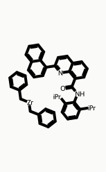 CC(C)c1cccc(C(C)C)c1NC(=O)c1cccc2ccc(-c3cccc4ccccc34)nc12.c1ccc([CH2][Zr][CH2]c2ccccc2)cc1